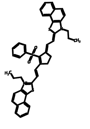 CCCN1/C(=C/C=C2\CCC(/C=C/c3sc4c5ccccc5ccc4[n+]3CCC)=C2S(=O)(=O)c2ccccc2)Sc2c1ccc1ccccc21